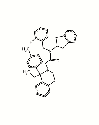 CCC1(c2ccc(C)cc2)c2ccccc2CCN1CC(=O)N(Cc1ccccc1F)C1Cc2ccccc2C1